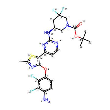 Cc1nc(Oc2ccc(N)c(F)c2F)c(-c2ccnc(N[C@@H]3CN(C(=O)OC(C)(C)C)CC(F)(F)C3)n2)s1